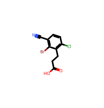 N#Cc1ccc(Cl)c(CCC(=O)O)c1Br